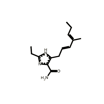 CCC=C(C)C=CCc1[nH]c(CC)nc1C(N)=O